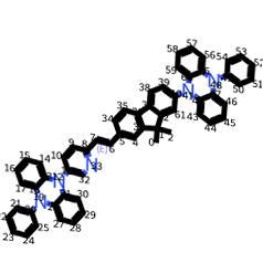 CC1(C)c2cc(/C=C/c3ccc(N4c5ccccc5N(c5ccccc5)c5ccccc54)cn3)ccc2-c2ccc(N3c4ccccc4N(c4ccccc4)c4ccccc43)cc21